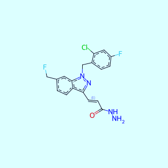 NNC(=O)/C=C/c1nn(Cc2ccc(F)cc2Cl)c2cc(CF)ccc12